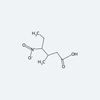 CCC(C(C)CC(=O)O)[N+](=O)[O-]